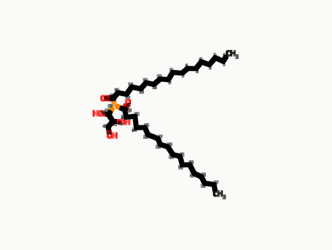 CCCCCCCCCCCCCCCCCC(=O)P(C(=O)CCCCCCCCCCCCCCCCC)C(O)C(O)CO